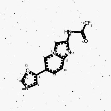 O=C(Nc1cn2cc(-c3cnco3)ccc2n1)C(F)(F)F